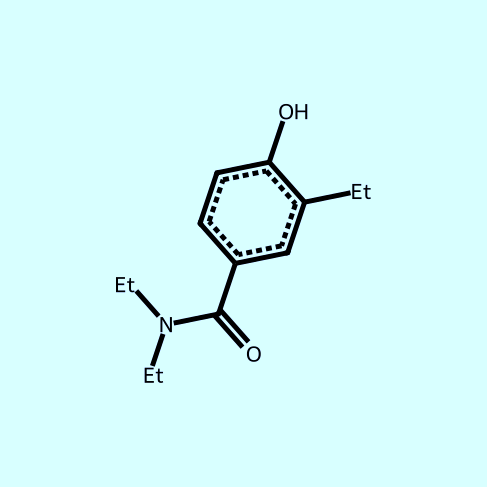 CCc1cc(C(=O)N(CC)CC)ccc1O